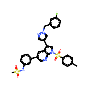 Cc1ccc(S(=O)(=O)n2cc(-c3cnn(Cc4cccc(F)c4)c3)c3cc(-c4cccc(NS(C)(=O)=O)c4)cnc32)cc1